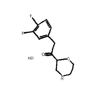 Cl.O=C(Cc1ccc(F)c(F)c1)C1CNCCO1